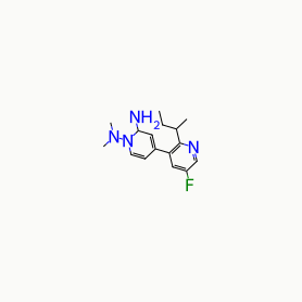 CCC(C)c1ncc(F)cc1C1=CC(N)N(N(C)C)C=C1